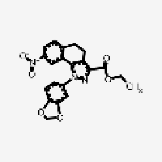 CCOC(=O)c1nn(-c2ccc3c(c2)OCO3)c2c1CCc1ccc([N+](=O)[O-])cc1-2